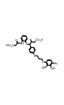 CCCc1c(OCCCSc2ccc(C(Sc3ccccc3NC(=O)CC(=O)O)C(C)CC(=O)O)cc2)ccc(C(C)=O)c1O